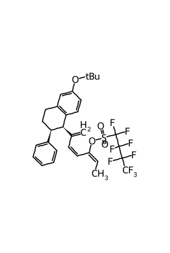 C=C(/C=C\C(=C/C)OS(=O)(=O)C(F)(F)C(F)(F)C(F)(F)C(F)(F)F)[C@@H]1c2ccc(OC(C)(C)C)cc2CC[C@@H]1c1ccccc1